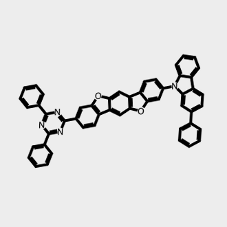 c1ccc(-c2ccc3c4ccccc4n(-c4ccc5c(c4)oc4cc6c(cc45)oc4cc(-c5nc(-c7ccccc7)nc(-c7ccccc7)n5)ccc46)c3c2)cc1